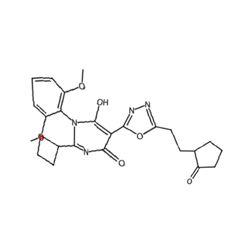 COc1cccc(OC)c1-n1c(C2CCC2)nc(=O)c(-c2nnc(CCC3CCCC3=O)o2)c1O